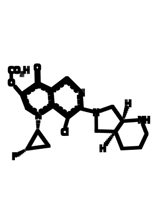 O=C(O)Oc1cn([C@@H]2C[C@@H]2F)c2c(Cl)c(N3C[C@@H]4CCCN[C@@H]4C3)ncc2c1=O